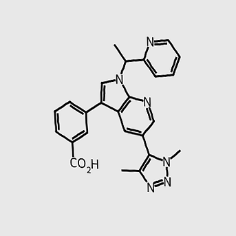 Cc1nnn(C)c1-c1cnc2c(c1)c(-c1cccc(C(=O)O)c1)cn2C(C)c1ccccn1